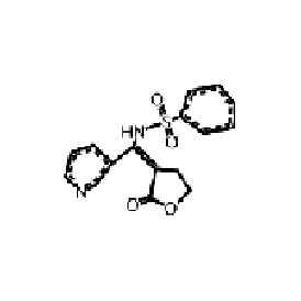 O=C1OCCC1=C(NS(=O)(=O)c1ccccc1)c1cccnc1